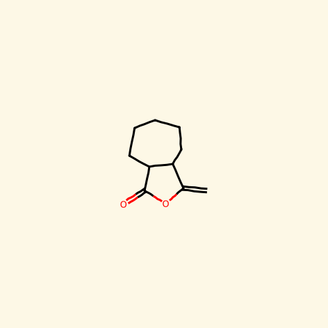 C=C1OC(=O)C2CCCCCC12